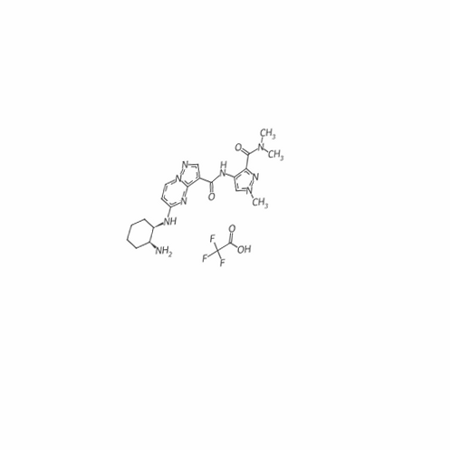 CN(C)C(=O)c1nn(C)cc1NC(=O)c1cnn2ccc(N[C@@H]3CCCC[C@@H]3N)nc12.O=C(O)C(F)(F)F